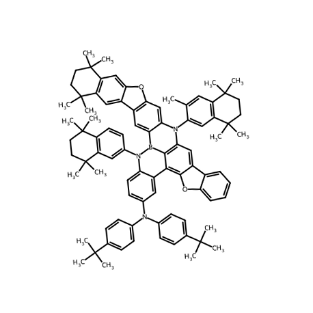 Cc1cc2c(cc1N1c3cc4oc5cc6c(cc5c4cc3B3c4c1cc1c(oc5ccccc51)c4-c1cc(N(c4ccc(C(C)(C)C)cc4)c4ccc(C(C)(C)C)cc4)ccc1N3c1ccc3c(c1)C(C)(C)CCC3(C)C)C(C)(C)CCC6(C)C)C(C)(C)CCC2(C)C